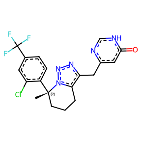 C[C@]1(c2ccc(C(F)(F)F)cc2Cl)CCCc2c(Cc3cc(=O)[nH]cn3)nnn21